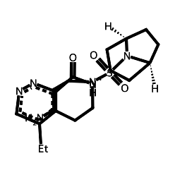 CCc1cnnc(C(=O)N[C@@H]2C[C@H]3CC[C@@H](C2)N3S(=O)(=O)N2CCC(N)CC2)c1